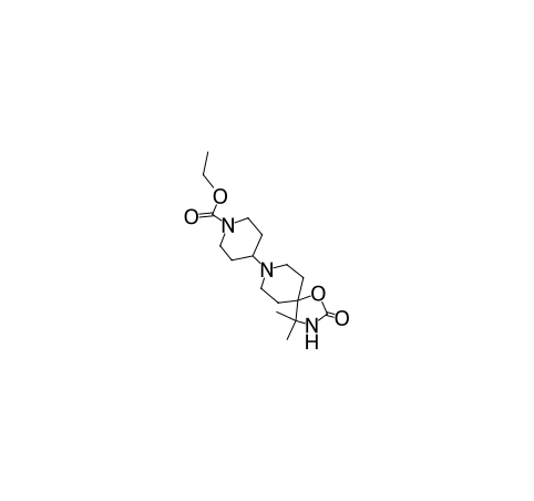 CCOC(=O)N1CCC(N2CCC3(CC2)OC(=O)NC3(C)C)CC1